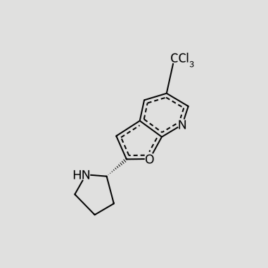 ClC(Cl)(Cl)c1cnc2oc([C@@H]3CCCN3)cc2c1